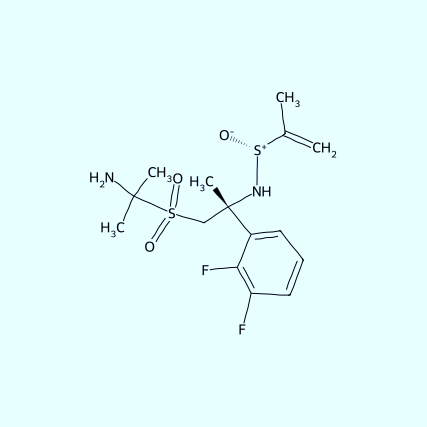 C=C(C)[S@@+]([O-])N[C@@](C)(CS(=O)(=O)C(C)(C)N)c1cccc(F)c1F